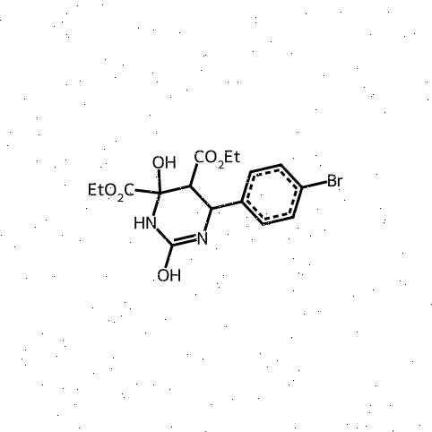 CCOC(=O)C1C(c2ccc(Br)cc2)N=C(O)NC1(O)C(=O)OCC